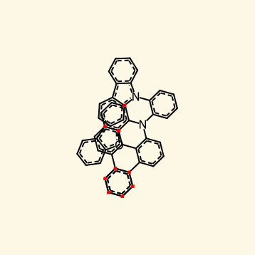 c1ccc(-c2ccccc2-c2c(-c3ccccc3)cccc2N(c2ccccc2-n2c3ccccc3c3ccccc32)c2cccc3c2oc2ccccc23)cc1